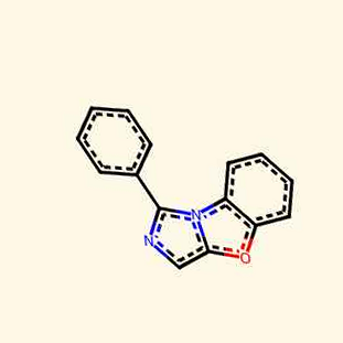 c1ccc(-c2ncc3oc4ccccc4n23)cc1